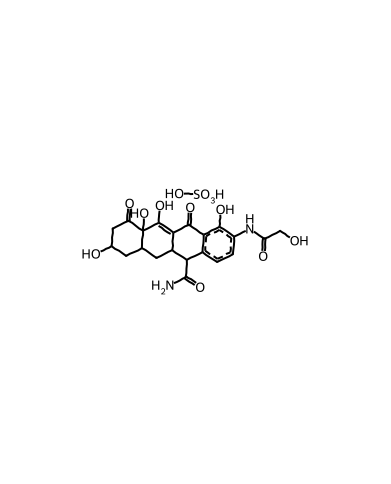 NC(=O)C1c2ccc(NC(=O)CO)c(O)c2C(=O)C2=C(O)C3(O)C(=O)CC(O)CC3CC21.O=S(=O)(O)O